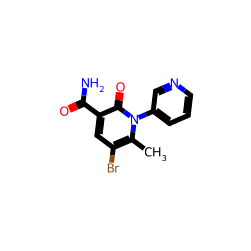 Cc1c(Br)cc(C(N)=O)c(=O)n1-c1cccnc1